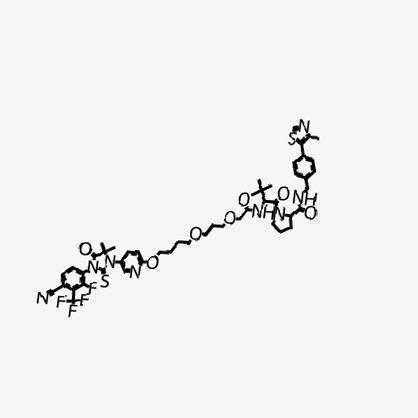 Cc1ncsc1-c1ccc(CNC(=O)C2CCCN2C(=O)C(NC(=O)COCCCOCCCCOc2ccc(N3C(=S)N(c4ccc(C#N)c(C(F)(F)F)c4F)C(=O)C3(C)C)cn2)C(C)(C)C)cc1